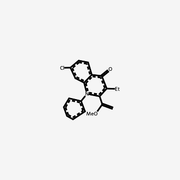 C=C(OC)c1c(CC)c(=O)c2ccc(Cl)cc2n1-c1ccccc1